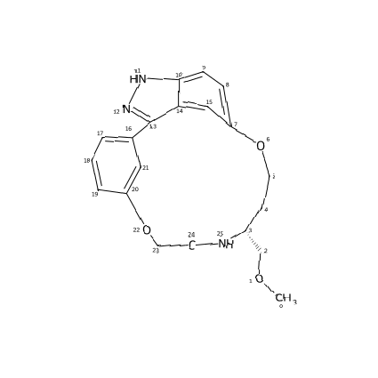 COC[C@H]1CCOc2ccc3[nH]nc(c3c2)-c2cccc(c2)OCCN1